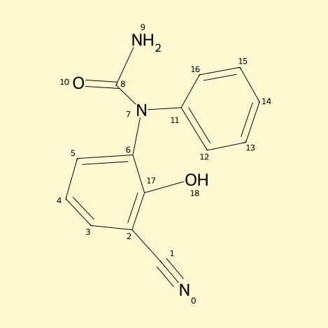 N#Cc1cccc(N(C(N)=O)c2ccccc2)c1O